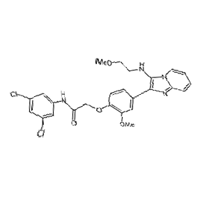 COCCNc1c(-c2ccc(OCC(=O)Nc3cc(Cl)cc(Cl)c3)c(OC)c2)nc2ccccn12